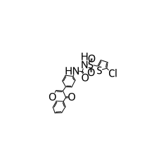 O=C(Nc1ccc(-c2coc3ccccc3c2=O)cc1)NS(=O)(=O)c1ccc(Cl)s1